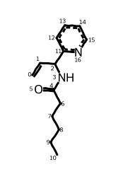 C=CC(NC(=O)CCCCC)c1ccccn1